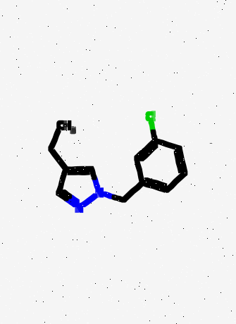 CCc1cnn(Cc2cccc(Cl)c2)c1